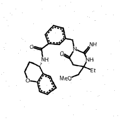 CCC1(COC)CC(=O)N(Cc2cccc(C(=O)N[C@H]3CCOc4ccccc43)c2)C(=N)N1